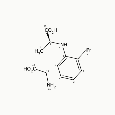 CC(C)c1ccccc1N[C@@H](C)C(=O)O.NCC(=O)O